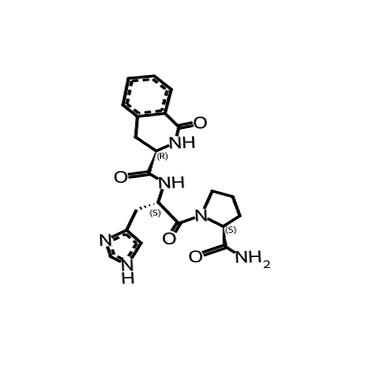 NC(=O)[C@@H]1CCCN1C(=O)[C@H](Cc1c[nH]cn1)NC(=O)[C@H]1Cc2ccccc2C(=O)N1